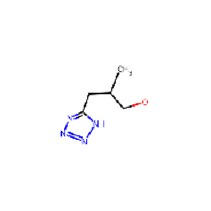 CC(C[O])Cc1nnn[nH]1